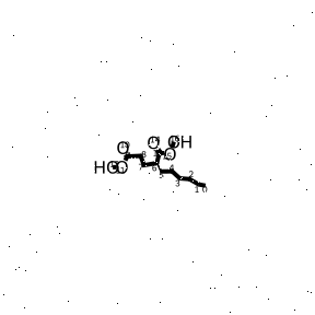 CCCCCC[C@@H](CCC(=O)OO)C(=O)OO